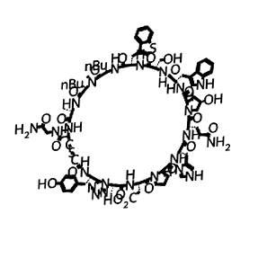 CCCC[C@@H]1NC(=O)[C@H](Cc2csc3ccccc23)NC(=O)[C@H](CO)NC(=O)[C@H](Cc2c[nH]c3ccccc23)NC(=O)[C@@H]2C[C@@H](O)CN2C(=O)[C@H](CCC(N)=O)NC(=O)[C@H](Cc2c[nH]cn2)NC(=O)[C@@H]2CCCN2C(=O)[C@H](CC(=O)O)NC(=O)[C@H](C)n2nnnc2[C@H](Cc2ccc(O)cc2)NC(=O)CSC[C@@H](C(=O)NCC(N)=O)NC(=O)[C@H](C)NC(=O)[C@H](CCCC)N(C)C1=O